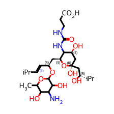 CC(C)/C=C/[C@@H](C[C@@H]1O[C@](O)(C[C@@H](O)C(C)C)C[C@H](O)C1NC(=O)NCCC(=O)O)OC1OC(C)C(O)C(N)C1O